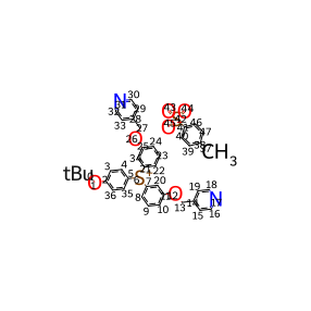 CC(C)(C)Oc1ccc([S+](c2cccc(OCc3ccncc3)c2)c2cccc(OCc3ccncc3)c2)cc1.Cc1ccc(S(=O)(=O)[O-])cc1